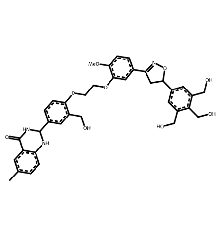 COc1ccc(C2=NOC(c3cc(CO)c(CO)c(CO)c3)C2)cc1OCCOc1ccc(C2NC(=O)c3cc(C)ccc3N2)cc1CO